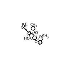 CC1CCC(C(=O)N(c2cc(C#CC3(C(F)(F)F)CC3)sc2C(=O)O)[C@H]2CC[C@H](Oc3cc(CN(C)C)ccn3)CC2)CC1